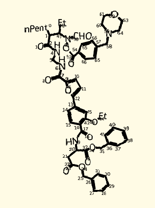 CCCCCC(C(=O)NCNC(=O)c1ccc(-c2ccc(C(=O)NC(CC(=O)OCc3ccccc3)C(=O)OCc3ccccc3)c(OCC)c2)o1)C(CC)N(C=O)OC(=O)c1ccc(CN2CCOCC2)cc1